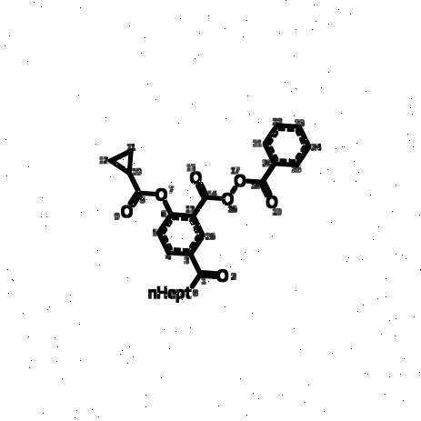 CCCCCCCC(=O)c1ccc(OC(=O)C2CC2)c(C(=O)OOC(=O)c2ccccc2)c1